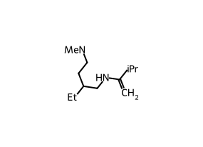 C=C(NCC(CC)CCNC)C(C)C